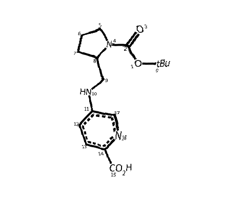 CC(C)(C)OC(=O)N1CCCC1CNc1ccc(C(=O)O)nc1